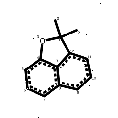 CC1(C)Oc2cccc3cccc1c23